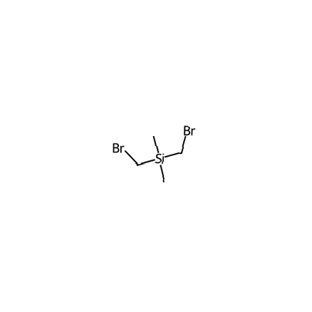 C[Si](C)(CBr)CBr